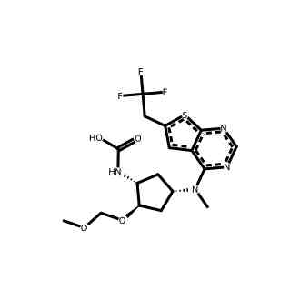 COCO[C@@H]1C[C@@H](N(C)c2ncnc3sc(CC(F)(F)F)cc23)C[C@H]1NC(=O)O